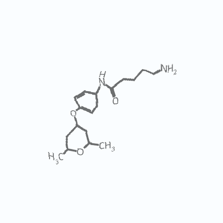 CC1CC(OC2=CCC(NC(=O)CCCCN)C=C2)CC(C)O1